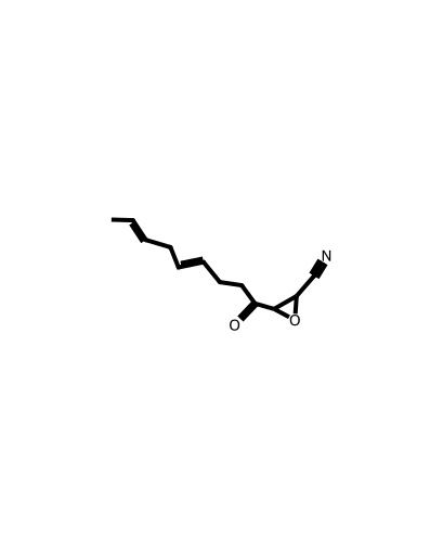 C/C=C/C/C=C/CCC(=O)C1OC1C#N